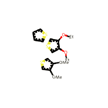 CCOc1cscc1OCC.COc1cscc1OC.c1ccsc1